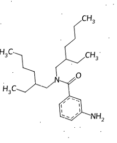 CCCCC(CC)CN(CC(CC)CCCC)C(=O)c1cccc(N)c1